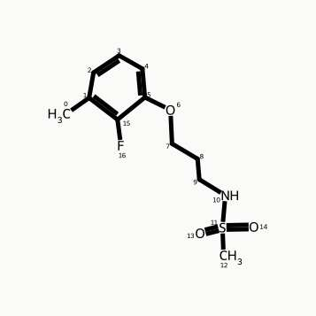 Cc1[c]ccc(OCCCNS(C)(=O)=O)c1F